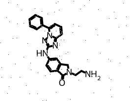 NCCN1Cc2cc(Nc3nc4cccc(-c5ccccc5)n4n3)ccc2C1=O